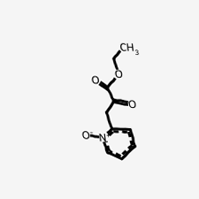 CCOC(=O)C(=O)Cc1cccc[n+]1[O-]